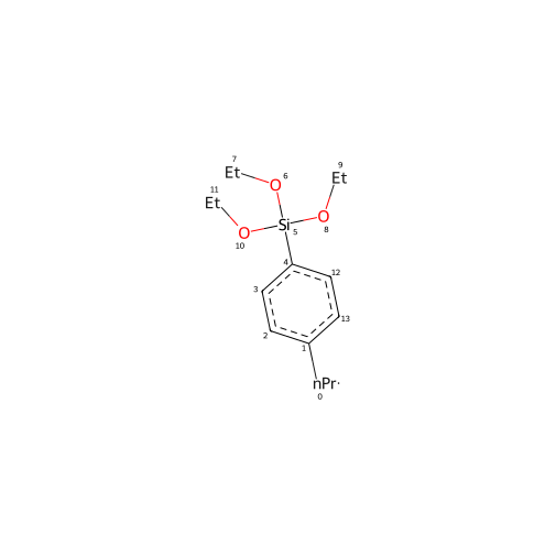 CC[CH]c1ccc([Si](OCC)(OCC)OCC)cc1